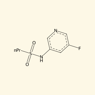 CCCS(=O)(=O)Nc1cncc(F)c1